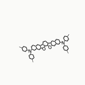 Cc1ccc(N(c2ccc(C)cc2)c2ccc3cc4c(cc3c2)oc2c4ccc3c4cc5ccc(N(c6ccc(C)cc6)c6ccc(C)cc6)cc5cc4oc32)cc1